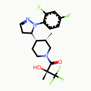 C[C@@H]1CN(C(=O)[C@@](C)(O)C(F)(F)F)CC[C@@H]1C1CC=NN1c1ccc(F)cc1F